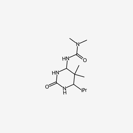 CC(C)C1NC(=O)NC(NC(=O)N(C)C)C1(C)C